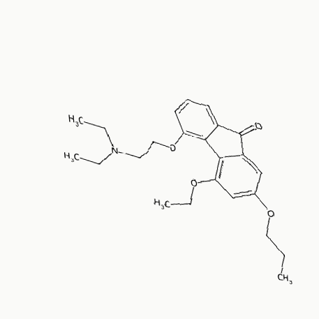 CCCOc1cc(OCC)c2c(c1)C(=O)c1cccc(OCCN(CC)CC)c1-2